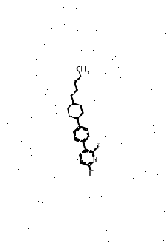 CCCCCC1CCC(c2ccc(-c3ccc(F)nc3F)cc2)CC1